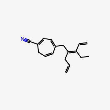 C=CC/C(CC1=CC=C(C#N)CC=C1)=C(/C=C)CC